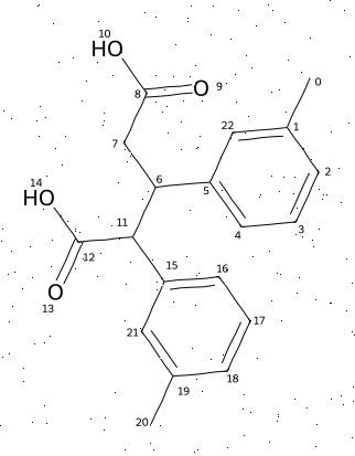 Cc1cccc(C(CC(=O)O)C(C(=O)O)c2cccc(C)c2)c1